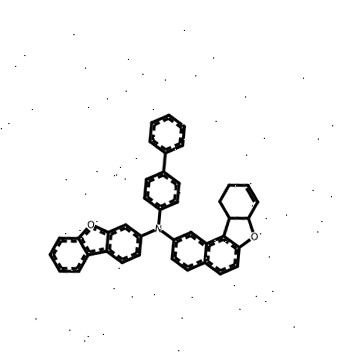 C1=CC2Oc3ccc4ccc(N(c5ccc(-c6ccccc6)cc5)c5ccc6c(c5)oc5ccccc56)cc4c3C2CC1